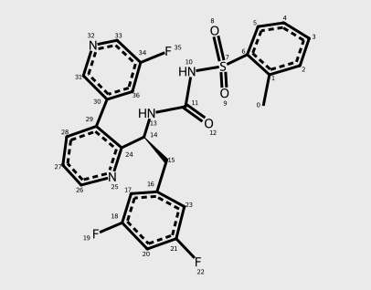 Cc1ccccc1S(=O)(=O)NC(=O)N[C@@H](Cc1cc(F)cc(F)c1)c1ncccc1-c1cncc(F)c1